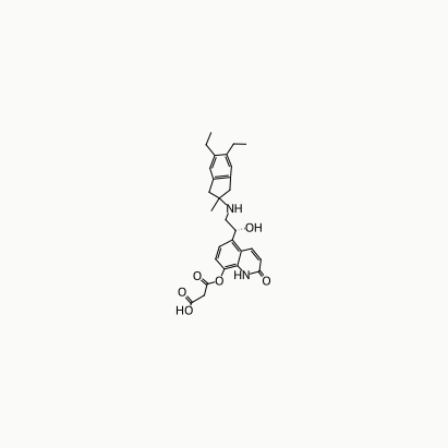 CCc1cc2c(cc1CC)CC(C)(NC[C@H](O)c1ccc(OC(=O)CC(=O)O)c3[nH]c(=O)ccc13)C2